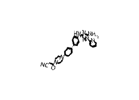 N#CCC(=O)N1CCN([C@H]2CC[C@@H](c3ccc(Nc4nc(N)n(-c5ccccn5)n4)cc3)CC2)CC1